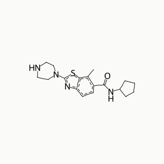 Cc1c(C(=O)NC2CCCC2)ccc2nc(N3CCNCC3)sc12